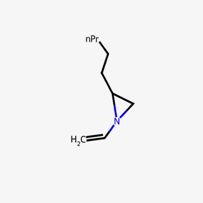 C=CN1CC1CCCCC